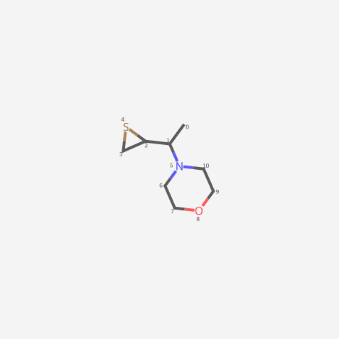 CC(C1CS1)N1CCOCC1